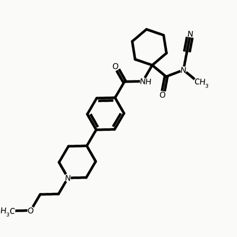 COCCN1CCC(c2ccc(C(=O)NC3(C(=O)N(C)C#N)CCCCC3)cc2)CC1